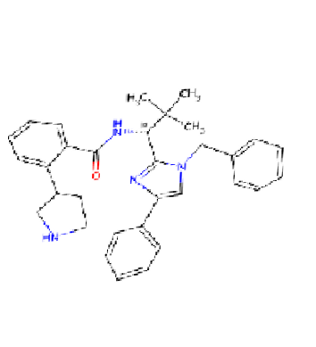 CC(C)(C)[C@@H](NC(=O)c1ccccc1C1CCNC1)c1nc(-c2ccccc2)cn1Cc1ccccc1